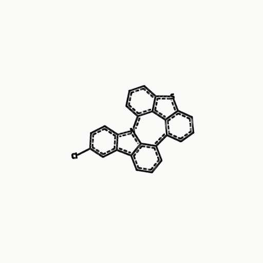 Clc1ccc2c(c1)c1cccc3c4cccc5sc6cccc(c6c54)n2c31